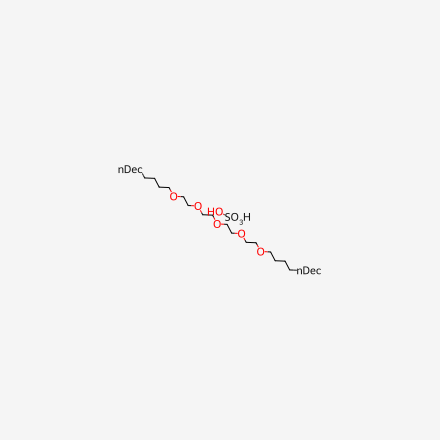 CCCCCCCCCCCCCCOCCOCCOCCOCCOCCCCCCCCCCCCCC.O=S(=O)(O)O